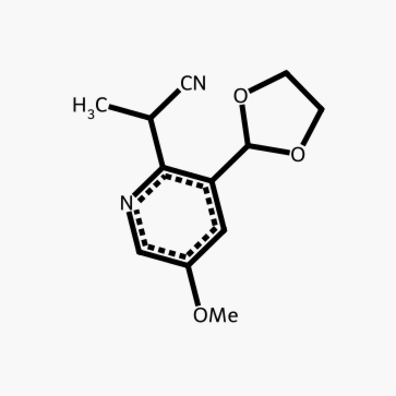 COc1cnc(C(C)C#N)c(C2OCCO2)c1